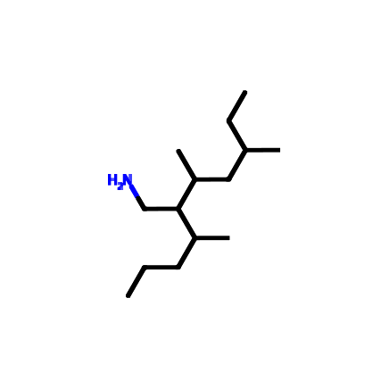 CCCC(C)C(CN)C(C)CC(C)CC